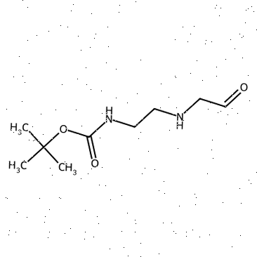 CC(C)(C)OC(=O)NCCNCC=O